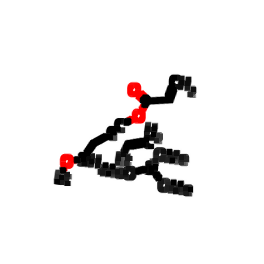 C=CC(=O)OCCC[SiH2]OCC.C=CCC.CO[Si](OC)OC